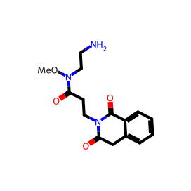 CON(CCN)C(=O)CCN1C(=O)Cc2ccccc2C1=O